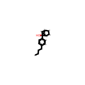 CCCCc1ccc(C2(O)CC3CCC2C3)cc1